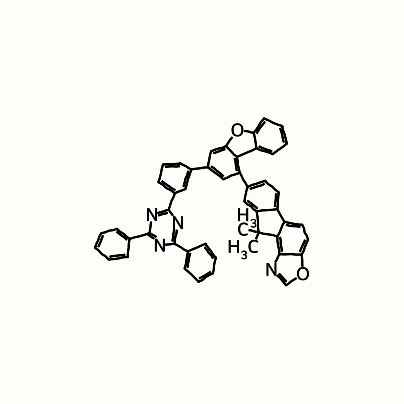 CC1(C)c2cc(-c3cc(-c4cccc(-c5nc(-c6ccccc6)nc(-c6ccccc6)n5)c4)cc4oc5ccccc5c34)ccc2-c2ccc3ocnc3c21